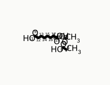 CC(=O)O.CCC(=O)O.O=C(O)CCCCCCC(=O)O